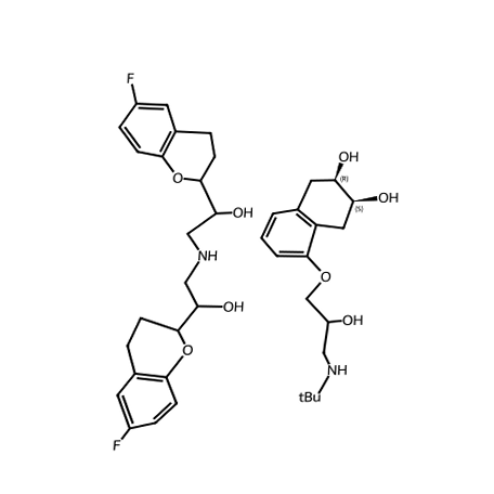 CC(C)(C)NCC(O)COc1cccc2c1C[C@H](O)[C@H](O)C2.OC(CNCC(O)C1CCc2cc(F)ccc2O1)C1CCc2cc(F)ccc2O1